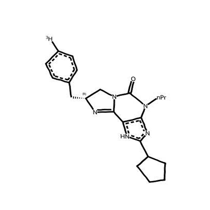 [3H]c1ccc(C[C@@H]2CN3C(=O)N(CCC)c4nc(C5CCCC5)[nH]c4C3=N2)cc1